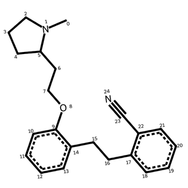 CN1CCCC1CCOc1ccccc1CCc1ccccc1C#N